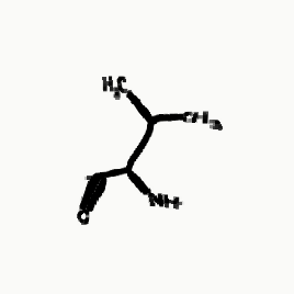 CC(C)C([NH])[C]=O